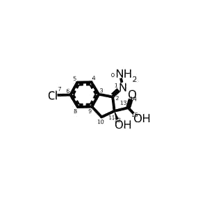 NN=C1c2ccc(Cl)cc2C[C@@]1(O)C(=O)O